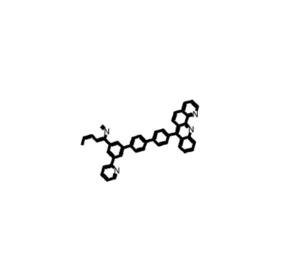 C=N/C(=C\C=C/C)c1cc(-c2ccc(-c3ccc(-c4c5ccccc5nc5c4ccc4cccnc45)cc3)cc2)cc(-c2ccccn2)c1